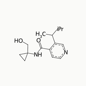 CC(C)C(C)c1cnccc1C(=O)NC1(CO)CC1